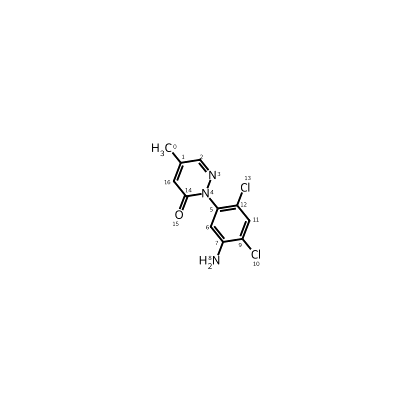 Cc1cnn(-c2cc(N)c(Cl)cc2Cl)c(=O)c1